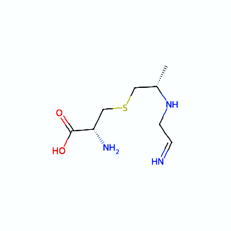 C[C@@H](CSC[C@H](N)C(=O)O)NCC=N